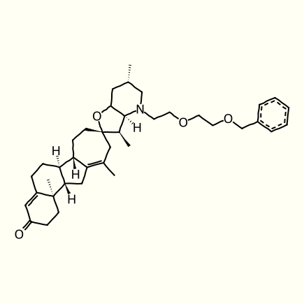 CC1=C2C[C@H]3[C@@H](CCC4=CC(=O)CC[C@@]43C)[C@@H]2CC[C@@]2(C1)OC1C[C@H](C)CN(CCOCCOCc3ccccc3)[C@H]1[C@H]2C